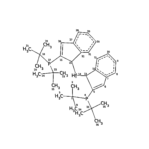 CC(C)(C)P(C1=Cc2ccccc2[CH]1[Hf][CH]1C(P(C(C)(C)C)C(C)(C)C)=Cc2ccccc21)C(C)(C)C